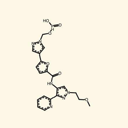 COCCn1cc(NC(=O)c2ccc(-c3cnn(CO[PH](=O)O)c3)o2)c(-c2ccccn2)n1